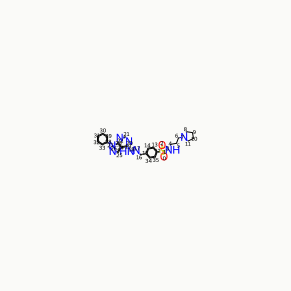 O=S(=O)(NCCCN1CCCC1)c1ccc(/C=N/Nc2ncnc3c2cnn3-c2ccccc2)cc1